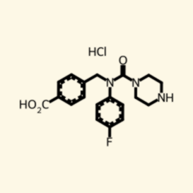 Cl.O=C(O)c1ccc(CN(C(=O)N2CCNCC2)c2ccc(F)cc2)cc1